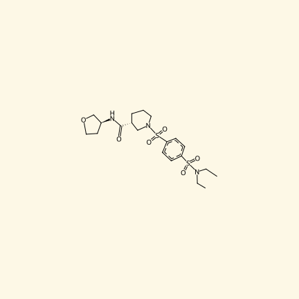 CCN(CC)S(=O)(=O)c1ccc(S(=O)(=O)N2CCC[C@@H](C(=O)N[C@H]3CCOC3)C2)cc1